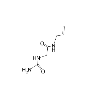 C=C[CH]NC(=O)CNC(N)=O